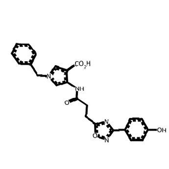 O=C(CCc1nc(-c2ccc(O)cc2)no1)Nc1cn(Cc2ccccc2)cc1C(=O)O